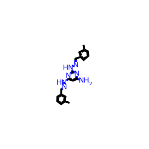 Cc1cccc(C=NNc2cc(N)nc(NN=Cc3cccc(C)c3)n2)c1